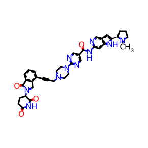 CN1CCC[C@@H]1c1cc2cnc(NC(=O)c3cnc(N4CCN(CC#Cc5cccc6c5CN(C5CCC(=O)NC5=O)C6=O)CC4)nc3)cc2[nH]1